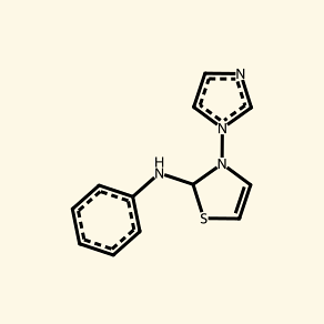 C1=CN(n2ccnc2)C(Nc2ccccc2)S1